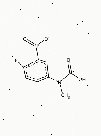 CN(C(=O)O)c1ccc(F)c([N+](=O)[O-])c1